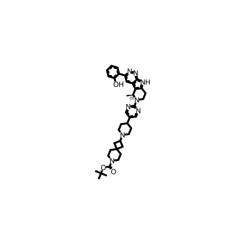 C[C@H]1c2c([nH]c3nnc(-c4ccccc4O)cc23)CCN1c1ncc(C2CCN(C3CC4(CCN(C(=O)OC(C)(C)C)CC4)C3)CC2)cn1